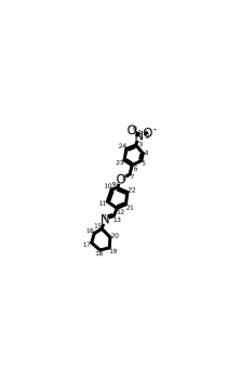 O=[N+]([O-])c1ccc(COc2ccc(/C=N/C3CCCCC3)cc2)cc1